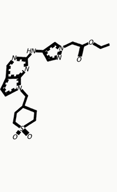 CCOC(=O)Cn1cc(Nc2ncc3ccn(CC4CCS(=O)(=O)CC4)c3n2)cn1